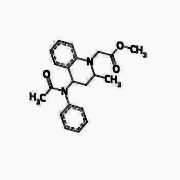 COC(=O)CN1c2ccccc2C(N(C(C)=O)c2ccccc2)CC1C